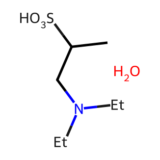 CCN(CC)CC(C)S(=O)(=O)O.O